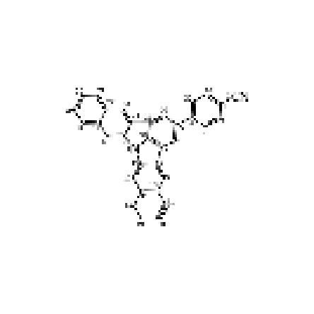 N#Cc1ccc(-c2cc3c4cc5c(cc4n4c6cc7ccccc7cc6c(c2)c34)CCC#C5)cc1